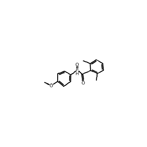 COc1ccc([PH](=O)C(=O)c2c(C)cccc2C)cc1